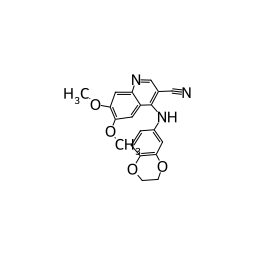 COc1cc2ncc(C#N)c(Nc3ccc4c(c3)OCCO4)c2cc1OC